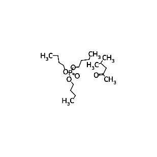 CC(=O)CC(C)C.CCCCOP(=O)(OCCCC)OCCCC